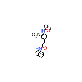 O=C(CCc1ccc(NC(=O)C(F)(F)F)c([N+](=O)[O-])c1)NC12CC3CC(CC(C3)C1)C2